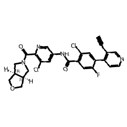 C#Cc1cnccc1-c1cc(Cl)c(C(=O)Nc2cnc(C(=O)N3C[C@H]4COC[C@H]4C3)c(Cl)c2)cc1F